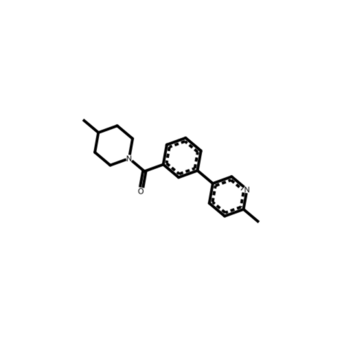 Cc1ccc(-c2cccc(C(=O)N3CCC(C)CC3)c2)cn1